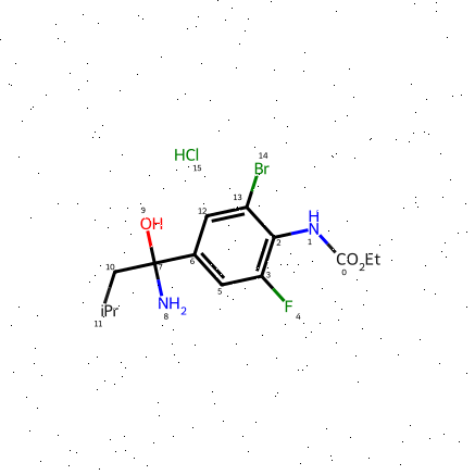 CCOC(=O)Nc1c(F)cc(C(N)(O)CC(C)C)cc1Br.Cl